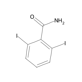 NC(=O)c1c(I)cccc1I